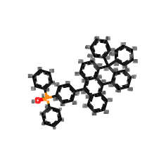 O=P(c1ccccc1)(c1ccccc1)c1ccc(-c2c3ccccc3c3c4c(cccc24)C(c2ccccc2)(c2ccccc2)c2ccccc2-3)cc1